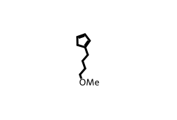 COCCCCC1=CC=CC1